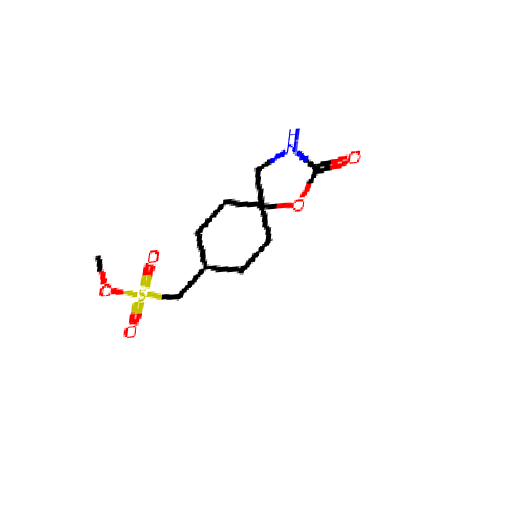 COS(=O)(=O)CC1CCC2(CC1)CNC(=O)O2